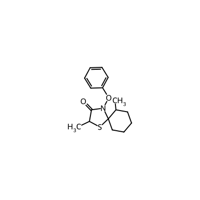 CC1SC2(CCCCC2C)N(Oc2ccccc2)C1=O